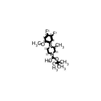 COc1cc(F)c(F)cc1N1CCN(C(O)OC(C)(C)C)C[C@@H]1C